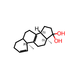 C[C@]12CCC3=C(CCC4CCC=C[C@]34C)[C@@H]1CCC2(O)O